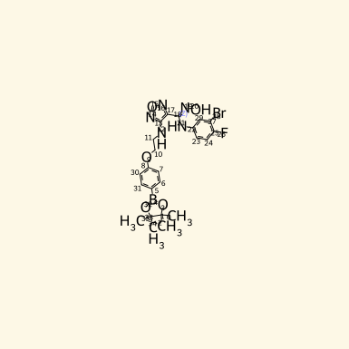 CC1(C)OB(c2ccc(OCCNc3nonc3/C(=N/O)Nc3ccc(F)c(Br)c3)cc2)OC1(C)C